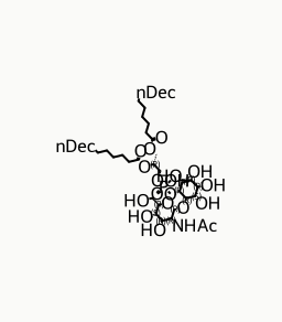 CCCCCCCCCCCCCCCC(=O)OC[C@H](COP(=O)(O)O[C@@H]1[C@H](O)[C@H](O)[C@@H](O)[C@H](O)[C@H]1O[C@H]1O[C@H](CO)[C@@H](O)[C@H](O)[C@H]1NC(C)=O)OC(=O)CCCCCCCCCCCCCCC